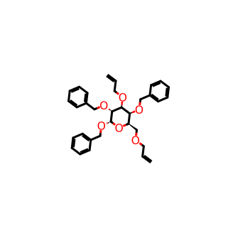 C=CCOC[C@H]1O[C@H](OCc2ccccc2)[C@H](OCc2ccccc2)[C@@H](OCC=C)[C@H]1OCc1ccccc1